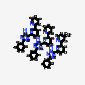 [Eu].c1ccc(-c2n[nH]c(-c3cccc(-c4ccccn4)n3)n2)cc1.c1ccc(-c2n[nH]c(-c3cccc(-c4ccccn4)n3)n2)cc1.c1ccc(-c2n[nH]c(-c3cccc(-c4ccccn4)n3)n2)cc1